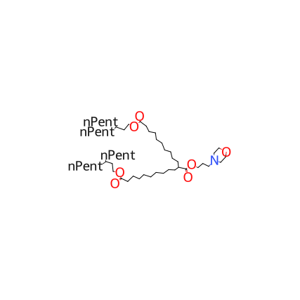 CCCCCC(CCCCC)CCOC(=O)CCCCCCCCCC(CCCCCCCCCC(=O)OCCC(CCCCC)CCCCC)C(=O)OCCCN1CCOCC1